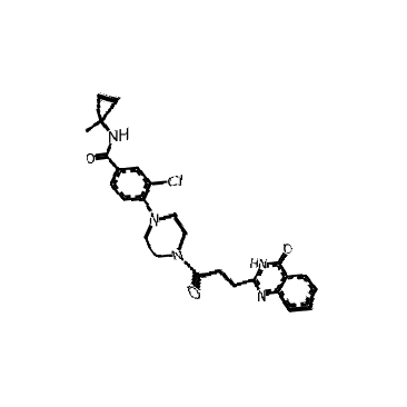 CC1(NC(=O)c2ccc(N3CCN(C(=O)CCc4nc5ccccc5c(=O)[nH]4)CC3)c(Cl)c2)CC1